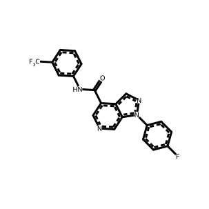 O=C(Nc1cccc(C(F)(F)F)c1)c1cncc2c1cnn2-c1ccc(F)cc1